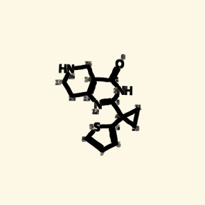 O=c1[nH]c(C2(c3cccs3)CC2)nc2c1CNCC2